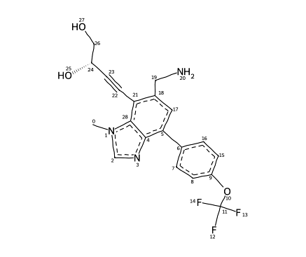 Cn1cnc2c(-c3ccc(OC(F)(F)F)cc3)cc(CN)c(C#C[C@H](O)CO)c21